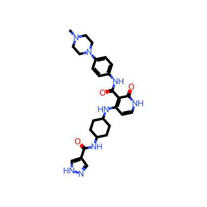 CN1CCN(c2ccc(NC(=O)c3c(NC4CCC(NC(=O)c5cn[nH]c5)CC4)cc[nH]c3=O)cc2)CC1